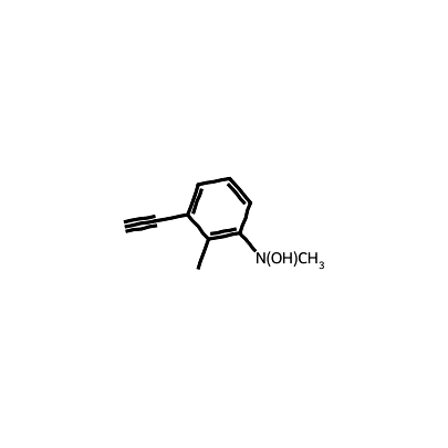 C#Cc1cccc(N(C)O)c1C